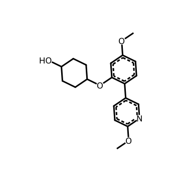 COc1ccc(-c2ccc(OC)nc2)c(OC2CCC(O)CC2)c1